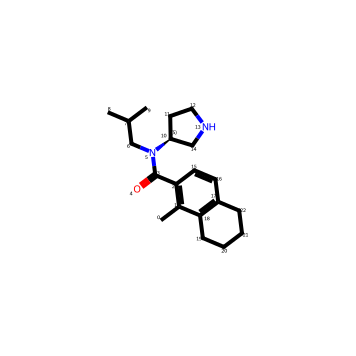 Cc1c(C(=O)N(CC(C)C)[C@H]2CCNC2)ccc2c1CCCC2